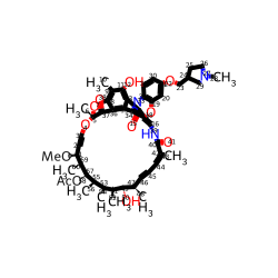 CO[C@H]1/C=C/O[C@@]2(C)Oc3c(C)c(O)c4c(=O)c(c5oc6cc(OCC7CCN(C)C7)ccc6nc-5c4c3C2=O)NC(=O)/C(C)=C\C=C\[C@H](C)[C@H](O)[C@@H](C)[C@@H](C)[C@@H](C)[C@H](OC(C)=O)[C@@H]1C